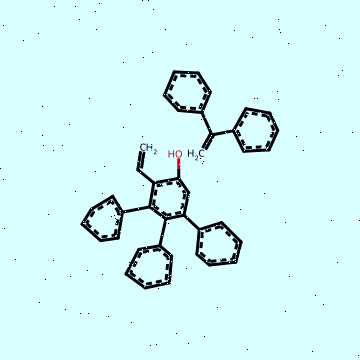 C=C(c1ccccc1)c1ccccc1.C=Cc1c(O)cc(-c2ccccc2)c(-c2ccccc2)c1-c1ccccc1